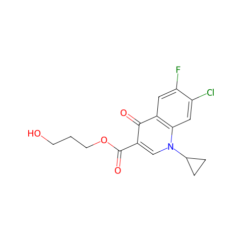 O=C(OCCCO)c1cn(C2CC2)c2cc(Cl)c(F)cc2c1=O